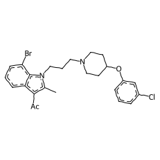 CC(=O)c1c(C)n(CCCN2CCC(Oc3cccc(Cl)c3)CC2)c2c(Br)cccc12